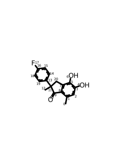 Cc1cc(O)c(O)c2c1C(=O)C(C)(c1ccc(F)cc1)C2